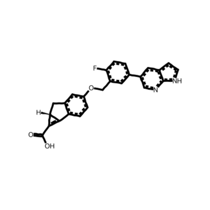 O=C(O)C1=C2c3ccc(OCc4cc(-c5cnc6[nH]ccc6c5)ccc4F)cc3C[C@@H]12